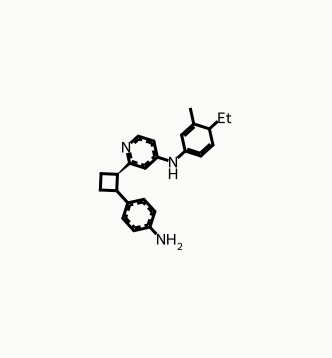 CCC1C=C=C(Nc2ccnc([C@@H]3CCC3c3ccc(N)cc3)c2)C=C1C